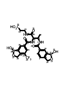 CC(NC(=O)c1ccc2c(c1)B(O)OC2)C(NC(=O)c1cc2c(c(C(F)(F)F)c1)COB2O)C(=O)NCCC(=O)O